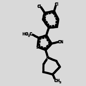 CC1CCN(c2sc(C(=O)O)c(-c3ccc(Cl)c(Cl)c3)c2C#N)CC1